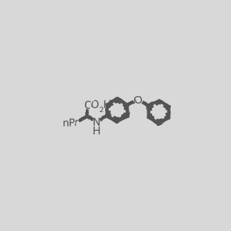 CCCC(Nc1ccc(Oc2ccccc2)cc1)C(=O)O